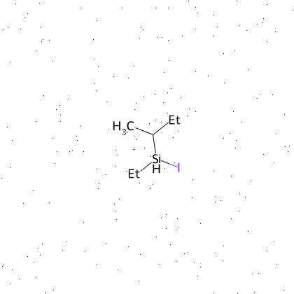 CCC(C)[SiH](I)CC